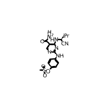 CC(C)[C@@H](C#N)Nc1nc(Nc2ccc(OS(C)(=O)=O)cc2)ncc1C(N)=O